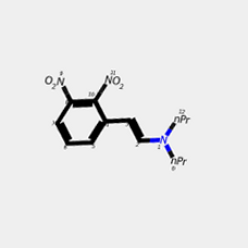 CCCN(/C=C/c1cccc([N+](=O)[O-])c1[N+](=O)[O-])CCC